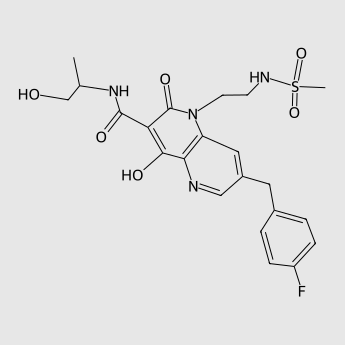 CC(CO)NC(=O)c1c(O)c2ncc(Cc3ccc(F)cc3)cc2n(CCNS(C)(=O)=O)c1=O